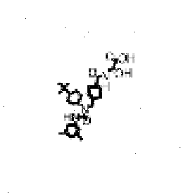 Cc1cc(C)cc(NC(=O)N(Cc2ccc(C(=O)NCC(O)C(=O)O)cc2)C2CCC(C(C)(C)C)CC2)c1